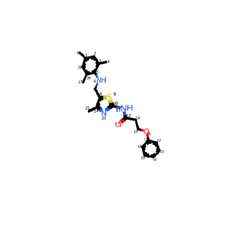 Cc1cc(C)c(NCc2sc(NC(=O)CCOc3ccccc3)nc2C)c(C)c1